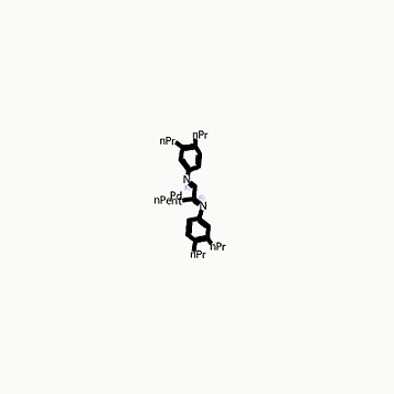 CCCCCC(/C=N/c1ccc(CCC)c(CCC)c1)=N\c1ccc(CCC)c(CCC)c1.[Pd]